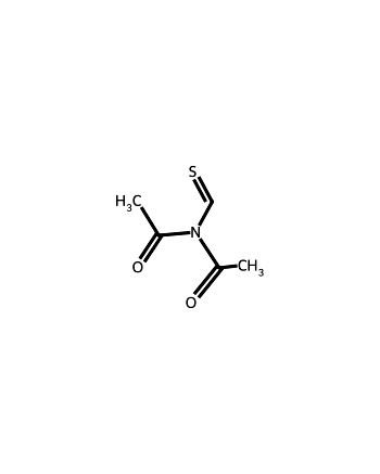 CC(=O)N(C=S)C(C)=O